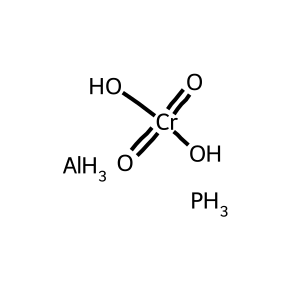 P.[AlH3].[O]=[Cr](=[O])([OH])[OH]